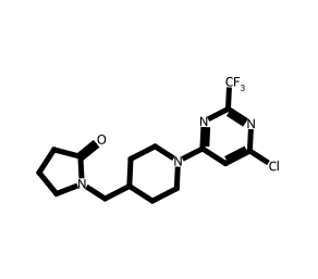 O=C1CCCN1CC1CCN(c2cc(Cl)nc(C(F)(F)F)n2)CC1